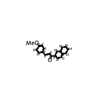 COc1ccc(C=CC(=O)c2ccc3ccccc3c2)cc1